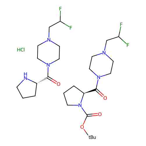 CC(C)(C)OC(=O)N1CCC[C@H]1C(=O)N1CCN(CC(F)F)CC1.Cl.O=C([C@@H]1CCCN1)N1CCN(CC(F)F)CC1